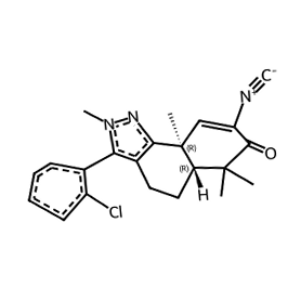 [C-]#[N+]C1=C[C@]2(C)c3nn(C)c(-c4ccccc4Cl)c3CC[C@H]2C(C)(C)C1=O